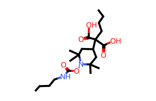 CCCCNC(=O)ON1C(C)(C)CC(C(CCCC)(C(=O)O)C(=O)O)CC1(C)C